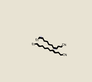 CC/C=C\CCCC/C=C\CCC#N.CCC=CCCCCC=CCCC#N